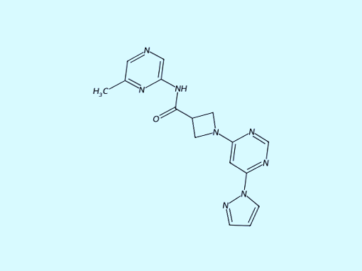 Cc1cncc(NC(=O)C2CN(c3cc(-n4cccn4)ncn3)C2)n1